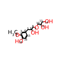 COc1cc(CC(O)COCC(O)CO)ccc1O